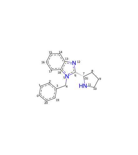 c1ccc(Cn2c([C@@H]3CCCN3)nc3ccccc32)cc1